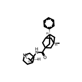 C[C@]12CC3CC(C(=O)N[C@@H]4CN5CCC4CC5)(C1)C[C@]3(c1ccccc1)C2